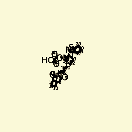 O=C(O)C(=O)O.O=C1CC2CCCN2C(=O)N1CCCCN1CCN(c2nsc3ccccc23)CC1